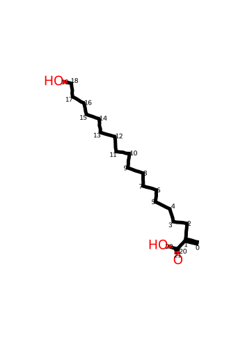 C=C(CCCCCCCCCCCCCCCCCO)C(=O)O